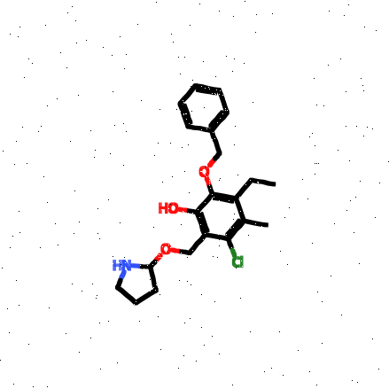 CCc1c(C)c(Cl)c(COC2CCCN2)c(O)c1OCc1ccccc1